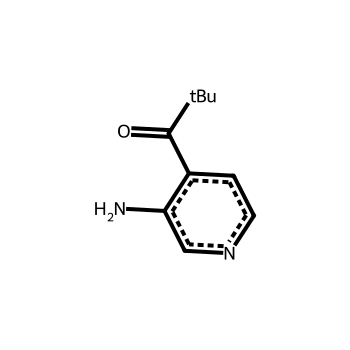 CC(C)(C)C(=O)c1ccncc1N